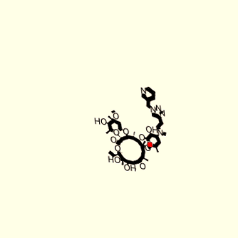 CC[C@H]1OC(=O)[C@H](C)[C@@H](O[C@H]2C[C@@](C)(OC)[C@@H](O)[C@H](C)O2)[C@H](C)[C@@H](O[C@@H]2O[C@H](C)C[C@H](N(C)CCc3cn(Cc4cccnc4)nn3)[C@H]2O)[C@](C)(OC)C[C@@H](C)C(=O)[C@H](C)[C@@H](O)[C@]1(C)O